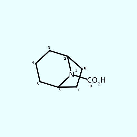 O=C(O)N1C2CCCC1CC2